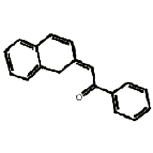 O=C(C=C1C=Cc2ccccc2C1)c1ccccc1